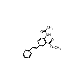 COC(=O)c1cc(/C=C/c2ccccc2)ccc1NC(C)=O